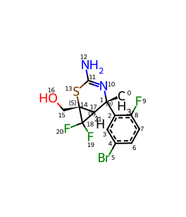 C[C@]1(c2cc(Br)ccc2F)N=C(N)S[C@]2(CO)[C@@H]1C2(F)F